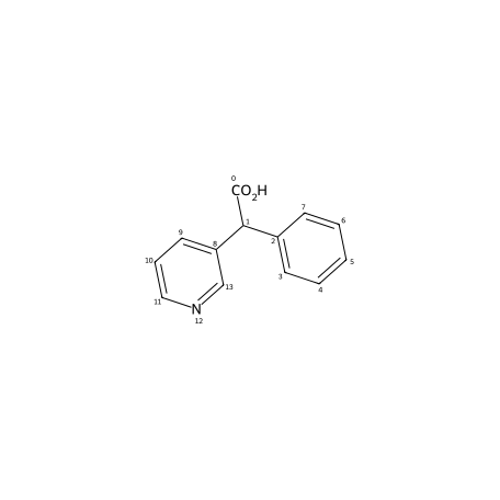 O=C(O)C(c1ccccc1)c1cccnc1